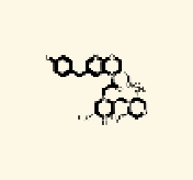 COC[C@H]1COc2ncc(Cc3ccc(F)cc3)cc2N1C(=O)CN1C[C@@H](C)NC[C@@H]1CN1[C@H](C)COC[C@H]1C